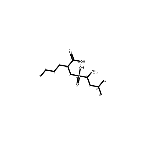 CCCCC(CP(=O)(O)C(N)CC(C)C)C(=O)O